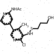 CC(=O)Nc1cc(-c2cnc(Cl)c(NSCCCO)c2C)ccn1